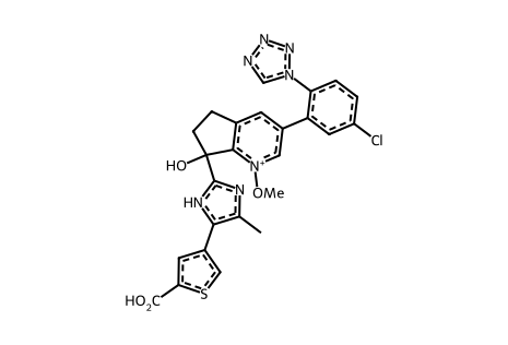 CO[n+]1cc(-c2cc(Cl)ccc2-n2cnnn2)cc2c1C(O)(c1nc(C)c(-c3csc(C(=O)O)c3)[nH]1)CC2